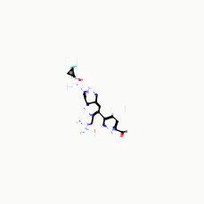 CCC(=O)c1cc(C)c(-c2cc3cnc(NC(=O)[C@H]4CC4(F)F)cc3nc2C(=O)N(C)C)cn1